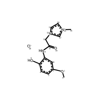 COc1ccc(O)c(NC(=O)Cn2cc[n+](C)c2)c1.[Cl-]